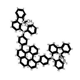 C[Si]1(C)c2ccccc2-c2cccc(N(c3ccccc3)c3ccc(-c4ccc5ccc6ccc(-c7ccc(N(c8ccccc8)c8cccc9c8[Si](C)(C)c8ccccc8-9)cc7)c7c8ccccc8c4c5c67)cc3)c21